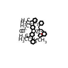 CCc1ccccc1-c1cc2c(cc1C(C)(C)C)-c1cc(C(C)(C)C)c(-c3ccccc3CC)cc1[CH]2[Zr+2]([C]1=CC=CC1)=[C](Cc1ccccc1)Cc1ccccc1.[Cl-].[Cl-]